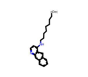 CCCCCCCCCCCCCCCCCCNc1ccnc2cc3ccccc3cc12